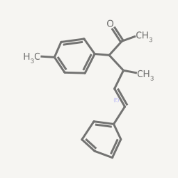 CC(=O)C(c1ccc(C)cc1)C(C)/C=C/c1ccccc1